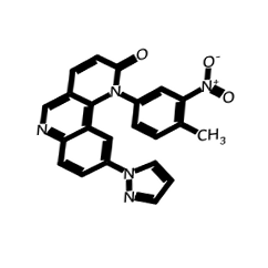 Cc1ccc(-n2c(=O)ccc3cnc4ccc(-n5cccn5)cc4c32)cc1[N+](=O)[O-]